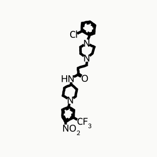 O=C(CCN1CCN(c2ccccc2Cl)CC1)NC1CCN(c2ccc([N+](=O)[O-])c(C(F)(F)F)c2)CC1